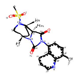 CS(=O)(=O)N1C[C@@H]2C[C@H]1[C@H]1C(=O)N(c3ccc(C#N)c4ncccc34)C(=O)N21